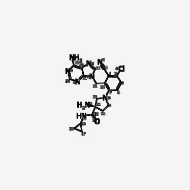 N#Cc1c(Cl)ccc(N2CC[C@](N)(C(=O)NC3CC3)C2)c1Cn1cnc2c(N)ncnc21